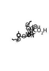 C=CCOC1(C)CCN(c2c([C@H](OC(C)(C)C)C(=O)O)c(C)nc3cc(COCc4cc(C)ccc4O[C@@H](C)CC=C)nn23)CC1